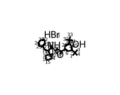 Br.CC(C)(C)c1cc(C(=O)CN2CC3(CCCC3)C(Cc3ccccc3)C2=N)cc(C(C)(C)C)c1O